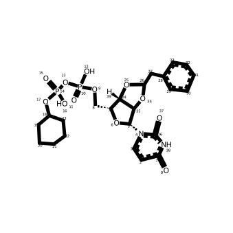 O=c1ccn([C@@H]2O[C@H](COP(=O)(O)OP(=O)(O)OC3CCCCC3)[C@@H]3OC(Cc4ccccc4)OC32)c(=O)[nH]1